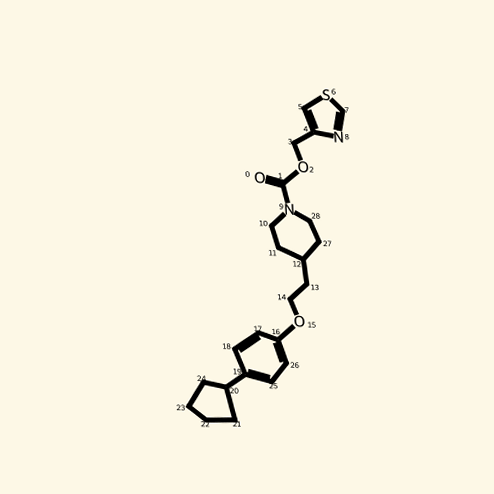 O=C(OCc1cscn1)N1CCC(CCOc2ccc(C3CCCC3)cc2)CC1